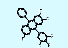 Fc1ccc2c(-c3ccccc3)c3cc(F)c(F)cc3c(-c3cc(F)c(F)c(F)c3)c2c1